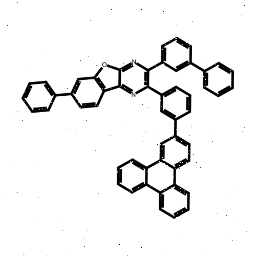 c1ccc(-c2cccc(-c3nc4oc5cc(-c6ccccc6)ccc5c4nc3-c3cccc(-c4ccc5c6ccccc6c6ccccc6c5c4)c3)c2)cc1